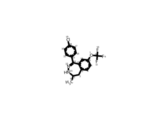 CC1Cc2ccc(OC(F)(F)F)cc2C(c2ccc(Cl)cc2)=NN1